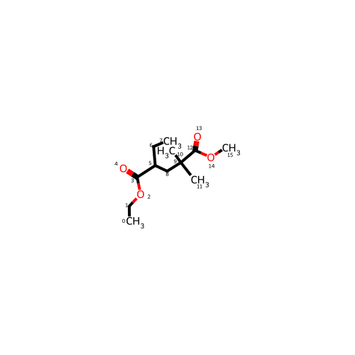 CCOC(=O)C(CC)CC(C)(C)C(=O)OC